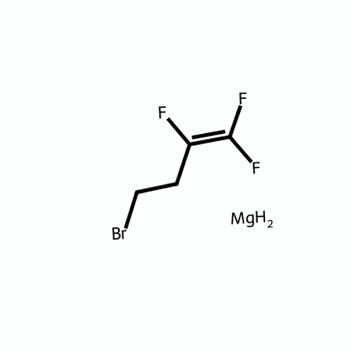 FC(F)=C(F)CCBr.[MgH2]